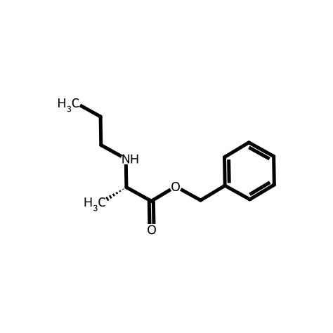 CCCN[C@@H](C)C(=O)OCc1ccccc1